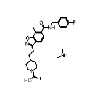 CNC.Cc1c(C(=O)NCc2ccc(F)cc2)ccc2c(CCC3CCN(C(=O)O)CC3)noc12